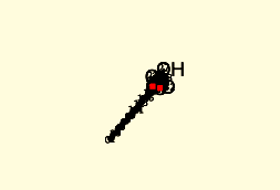 CCCCCCCCC=CCCCCCCCCOC(=O)[C@]1(C(C)=O)C[C@@H](O)CN1C(C)=O